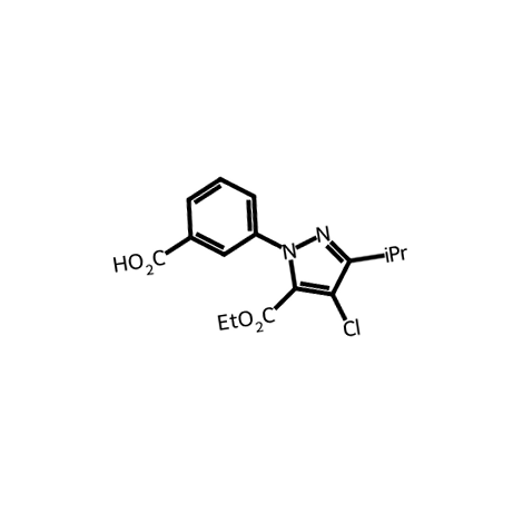 CCOC(=O)c1c(Cl)c(C(C)C)nn1-c1cccc(C(=O)O)c1